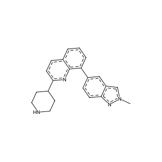 Cn1cc2cc(-c3cccc4ccc(C5CCNCC5)nc34)ccc2n1